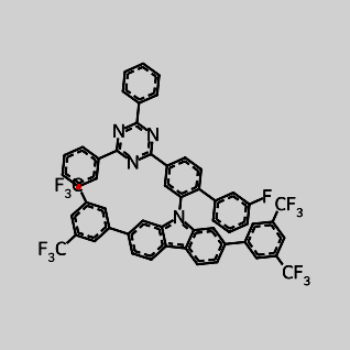 Fc1cccc(-c2ccc(-c3nc(-c4ccccc4)nc(-c4ccccc4)n3)cc2-n2c3cc(-c4cc(C(F)(F)F)cc(C(F)(F)F)c4)ccc3c3ccc(-c4cc(C(F)(F)F)cc(C(F)(F)F)c4)cc32)c1